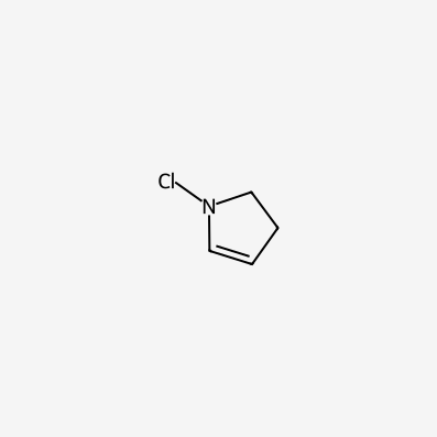 ClN1C=CCC1